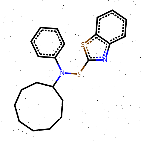 c1ccc(N(Sc2nc3ccccc3s2)C2CCCCCCCC2)cc1